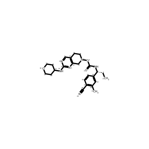 CC[C@@H](NC(=O)ON1CCc2cnc(NC3CCOCC3)nc2C1)c1ccc(C#N)c(C)c1